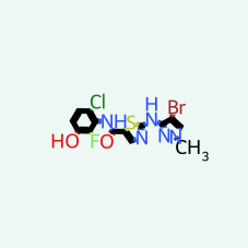 Cn1cc(Br)c(Nc2ncc(C(=O)Nc3c(Cl)ccc(O)c3F)s2)n1